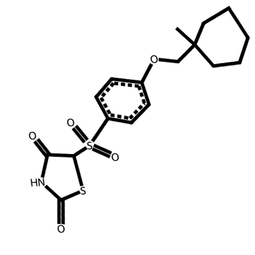 CC1(COc2ccc(S(=O)(=O)C3SC(=O)NC3=O)cc2)CCCCC1